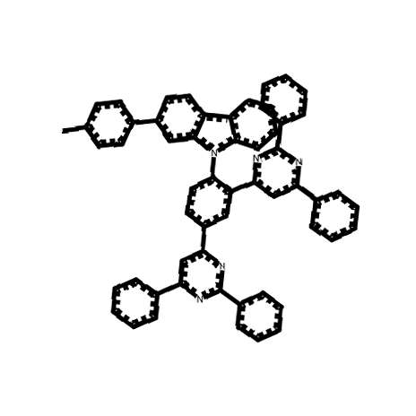 Cc1ccc(-c2ccc3c4ccccc4n(-c4ccc(-c5cc(-c6ccccc6)nc(-c6ccccc6)n5)cc4-c4cc(-c5ccccc5)nc(-c5ccccc5)n4)c3c2)cc1